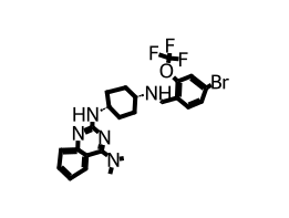 CN(C)c1nc(N[C@H]2CC[C@@H](NCc3ccc(Br)cc3OC(F)(F)F)CC2)nc2ccccc12